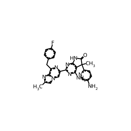 Cc1cn2cc(-c3nc(N)c4c(n3)NC(=O)C4(C)c3ccc(N)cn3)nc(Cc3ccc(F)cc3)c2n1